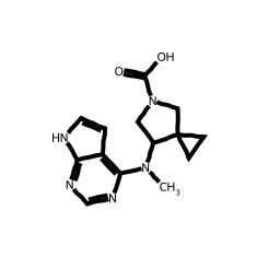 CN(c1ncnc2[nH]ccc12)C1CN(C(=O)O)CC12CC2